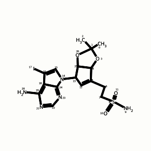 CC1(C)OC2C(CCS(N)(=O)=O)=CC(n3cc(I)c4c(N)ncnc43)C2O1